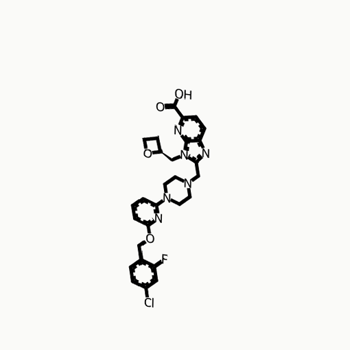 O=C(O)c1ccc2nc(CN3CCN(c4cccc(OCc5ccc(Cl)cc5F)n4)CC3)n(C[C@@H]3CCO3)c2n1